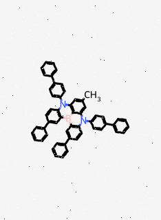 Cc1cc2c3c(c1)N(c1ccc(-c4ccccc4)cc1)c1ccc(-c4ccccc4)cc1B3c1cc(-c3ccccc3)ccc1N2c1ccc(-c2ccccc2)cc1